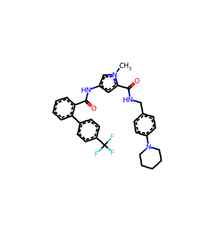 Cn1cc(NC(=O)c2ccccc2-c2ccc(C(F)(F)F)cc2)cc1C(=O)NCc1ccc(N2CCCCC2)cc1